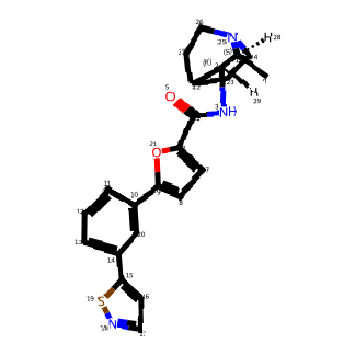 C[C@H]1[C@H](NC(=O)c2ccc(-c3cccc(-c4ccns4)c3)o2)C2CCN1CC2